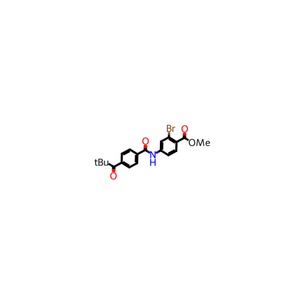 COC(=O)c1ccc(NC(=O)c2ccc(C(=O)C(C)(C)C)cc2)cc1Br